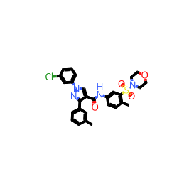 Cc1cccc(-c2nn(-c3cccc(Cl)c3)cc2C(=O)Nc2ccc(C)c(S(=O)(=O)N3CCOCC3)c2)c1